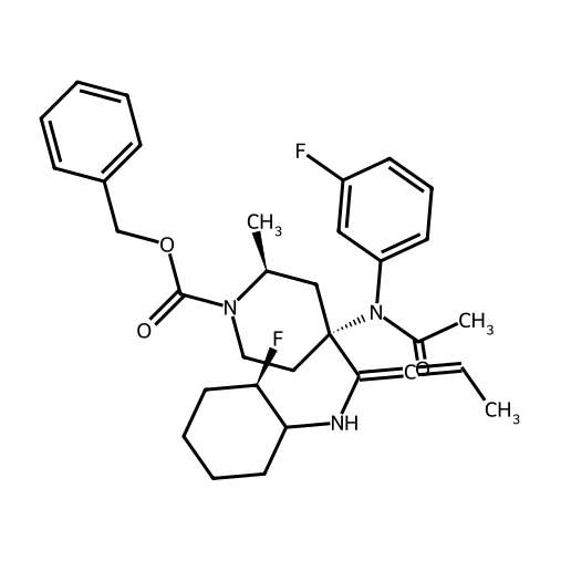 CC=C=C(NC1CCCC[C@H]1F)[C@@]1(N(C(C)=O)c2cccc(F)c2)CCN(C(=O)OCc2ccccc2)[C@@H](C)C1